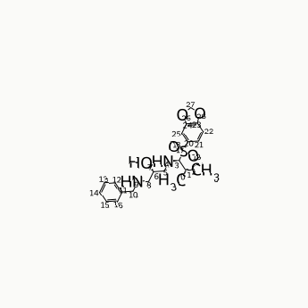 CC(C)[C@@H](NC[C@H](O)CNCc1ccccc1)S(=O)(=O)c1ccc2c(c1)OCO2